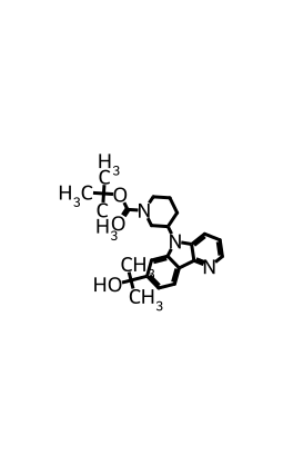 CC(C)(C)OC(=O)N1CCCC(n2c3cc(C(C)(C)O)ccc3c3ncccc32)C1